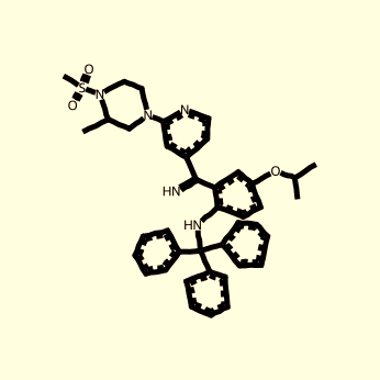 CC(C)Oc1ccc(NC(c2ccccc2)(c2ccccc2)c2ccccc2)c(C(=N)c2ccnc(N3CCN(S(C)(=O)=O)C(C)C3)c2)c1